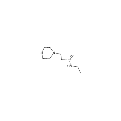 CCN[S+]([O-])CCN1CCOCC1